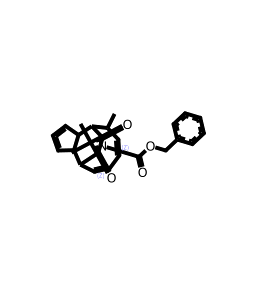 CC1/C=C\C=C/C2C3C=C=CC3C1C1C(=O)N(C(=O)OCc3ccccc3)C(=O)C21